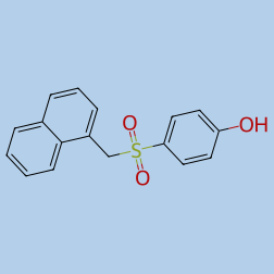 O=S(=O)(Cc1cccc2ccccc12)c1ccc(O)cc1